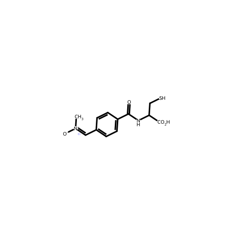 C/[N+]([O-])=C\c1ccc(C(=O)NC(CS)C(=O)O)cc1